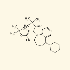 CC(C)(C)OC(=O)NC1CCN(C2CCCCC2)c2ccccc2N1CC(=O)C(C)(C)C